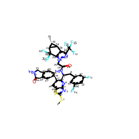 CSc1nc2nc(C(Cc3cc(F)cc(F)c3)NC(=O)Cn3nc(C(F)(F)F)c4c3C(F)(F)C3C4[C@H]3C)c(-c3ccc4c(c3)C(=O)NC4)cc2s1